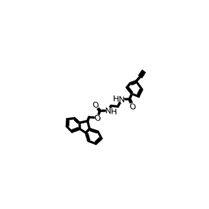 C#Cc1ccc(C(=O)NCCNC(=O)OCC2c3ccccc3-c3ccccc32)cc1